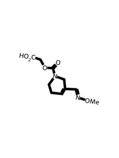 CON=CC1=CCCN(C(=O)OCC(=O)O)C1